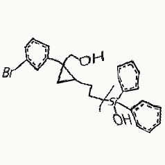 CC(C)(CCC1CC1(CO)c1cccc(Br)c1)[Si](O)(c1ccccc1)c1ccccc1